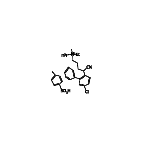 CCC[N+](C)(CC)CCCC(C#N)c1ccc(Cl)cc1-c1ccccc1.Cc1ccc(S(=O)(=O)O)cc1